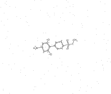 CCS(=O)(=O)c1ccc(-c2c(Cl)cc(N)cc2Cl)cc1